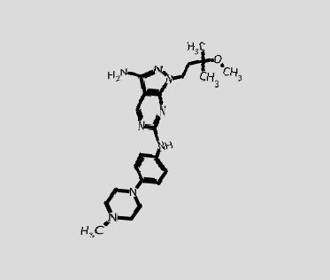 COC(C)(C)CCn1nc(N)c2cnc(Nc3ccc(N4CCN(C)CC4)cc3)nc21